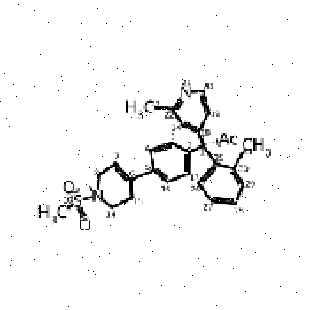 CC(=O)[C@](c1ccc(C2=CCN(S(C)(=O)=O)CC2)cc1)(c1ccnc(C)c1)c1ccccc1C